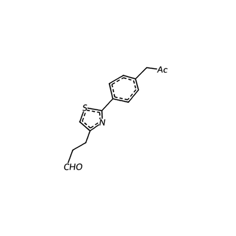 CC(=O)Cc1ccc(-c2nc(CCC=O)cs2)cc1